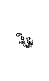 CN(c1ncnc2sc(CC(F)(F)F)cc12)[C@@H]1CC[C@H](NCc2ccc(N3CCc4ccccc43)cc2)C1